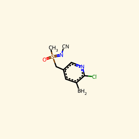 Bc1cc(CS(C)(=O)=NC#N)cnc1Cl